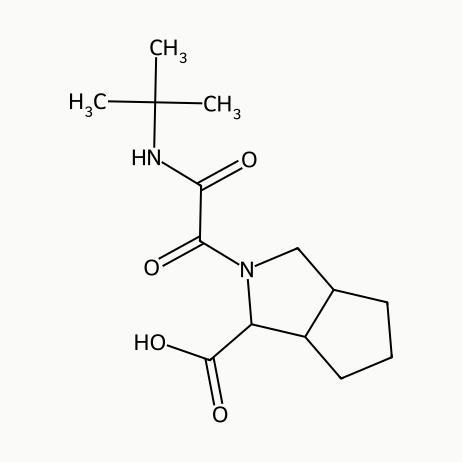 CC(C)(C)NC(=O)C(=O)N1CC2CCCC2C1C(=O)O